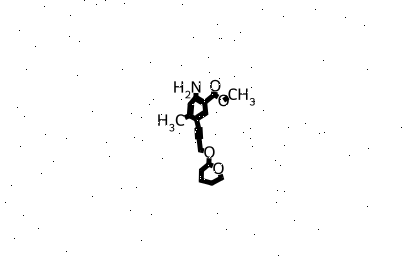 COC(=O)c1cc(C#CCOC2CCCCO2)c(C)cc1N